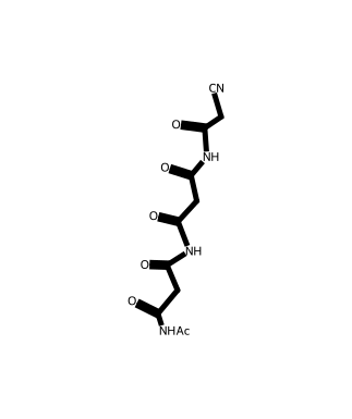 CC(=O)NC(=O)CC(=O)NC(=O)CC(=O)NC(=O)CC#N